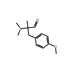 COc1ccc(CC(C)(C=O)N(C)C)cc1